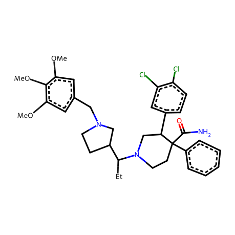 CCC(C1CCN(Cc2cc(OC)c(OC)c(OC)c2)C1)N1CCC(C(N)=O)(c2ccccc2)C(c2ccc(Cl)c(Cl)c2)C1